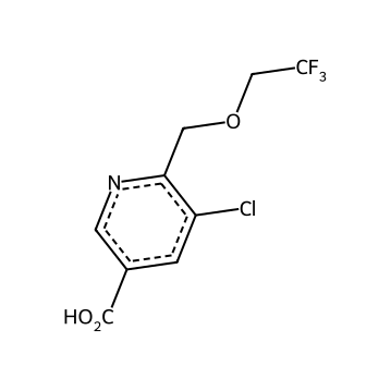 O=C(O)c1cnc(COCC(F)(F)F)c(Cl)c1